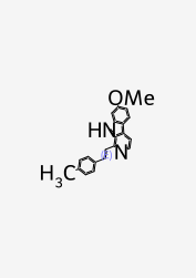 COc1ccc2c(c1)[nH]c1c(/C=C/c3ccc(C)cc3)nccc12